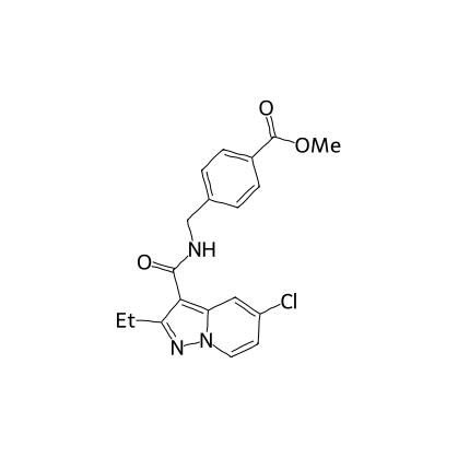 CCc1nn2ccc(Cl)cc2c1C(=O)NCc1ccc(C(=O)OC)cc1